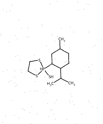 CC1CCC(C(C)C)C([PH]2(S)SCCS2)C1